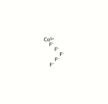 [Co+5].[F-].[F-].[F-].[F-].[F-]